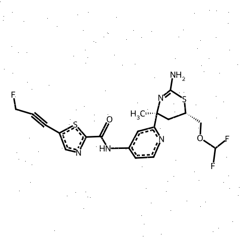 C[C@@]1(c2cc(NC(=O)c3ncc(C#CCF)s3)ccn2)C[C@@H](COC(F)F)SC(N)=N1